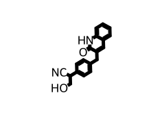 N#CC(CO)c1ccc(Cc2cc3ccccc3[nH]c2=O)cc1